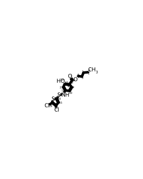 CCCCCOC(=O)c1ccc(NSc2cc(Cl)c(Cl)s2)cc1O